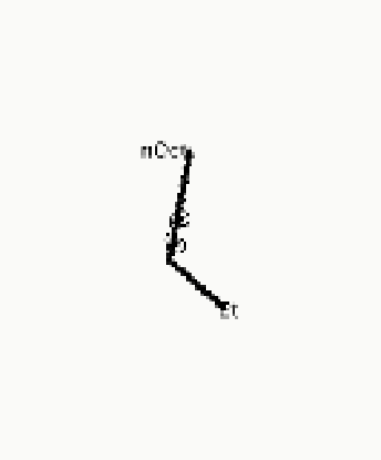 CCC=CCC=CCC=CCC=CCC=CC/C=C\CCC(=O)OCCCOC(=O)CCCCCCCCCCCCC/C=C\CCCCCCCC